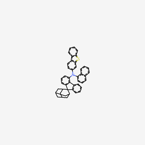 c1ccc2c(c1)-c1c(N(c3ccc4c(c3)sc3ccccc34)c3cccc4ccccc34)cccc1C21C2CC3CC(C2)CC1C3